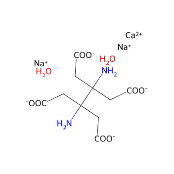 NC(CC(=O)[O-])(CC(=O)[O-])C(N)(CC(=O)[O-])CC(=O)[O-].O.O.[Ca+2].[Na+].[Na+]